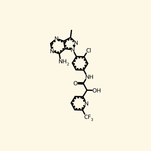 Cc1nn(-c2ccc(NC(=O)C(O)c3cccc(C(F)(F)F)n3)cc2Cl)c2c(N)ncnc12